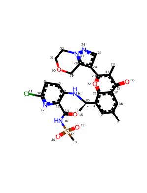 Cc1cc([C@@H](C)Nc2ccc(Cl)nc2C(=O)NS(C)(=O)=O)c2oc(-c3cnn4c3COCC4)c(C)c(=O)c2c1